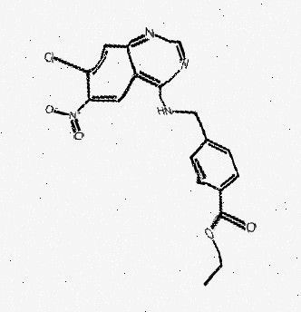 CCOC(=O)c1ccc(CNc2ncnc3cc(Cl)c([N+](=O)[O-])cc23)cc1